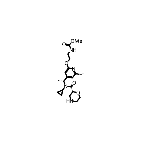 CCc1cc([C@@H](C)N(C(=O)[C@H]2CNCCO2)C2CC2)cc(OCCNC(=O)OC)n1